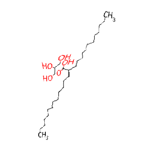 CCCCCCCCCCCCCC(CCCCCCCCCCCC)C(=O)O.OCC(O)CO